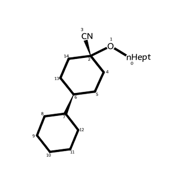 CCCCCCCO[C@]1(C#N)CC[C@@H](C2CCCCC2)CC1